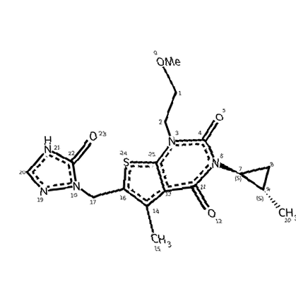 COCCn1c(=O)n([C@H]2C[C@@H]2C)c(=O)c2c(C)c(Cn3nc[nH]c3=O)sc21